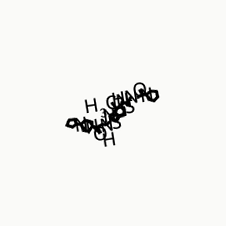 Cc1c2nc(NCC(=O)N3CCCCC3)sc2cc2sc(NCC(=O)N3CCN(C4CCCC4)CC3)nc12